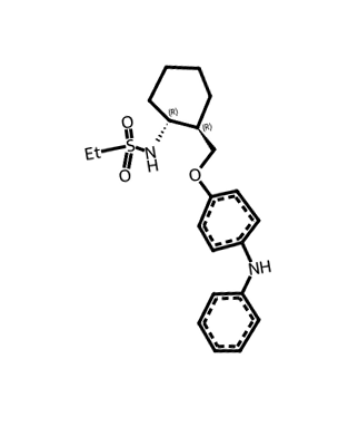 CCS(=O)(=O)N[C@@H]1CCCC[C@H]1COc1ccc(Nc2ccccc2)cc1